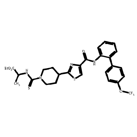 CCOC(=O)C(C)NC(=S)N1CCC(c2nc(C(=O)Nc3ccccc3-c3ccc(OC(F)(F)F)cc3)cs2)CC1